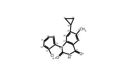 Cc1cc2c(=O)[nH]c(=O)n(-c3ccccc3Cl)c2cc1C1CC1